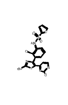 CC(C)(C)c1nc(-c2cccc(NS(=O)(=O)c3ccco3)c2Cl)c(-c2ccnc(Cl)n2)s1